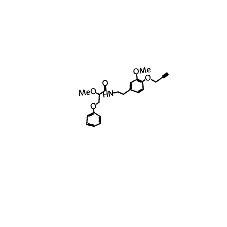 C#CCOc1ccc(CCNC(=O)C(COc2ccccc2)OC)cc1OC